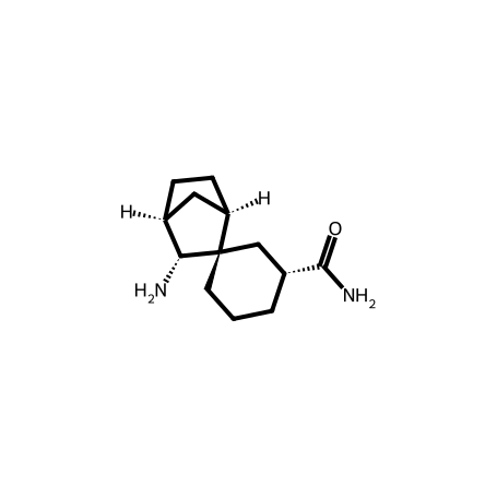 NC(=O)[C@@H]1CCC[C@]2(C1)[C@@H]1CC[C@@H](C1)[C@H]2N